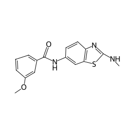 CNc1nc2ccc(NC(=O)c3cccc(OC)c3)cc2s1